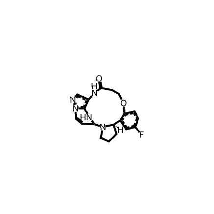 O=C1CCOc2ccc(F)cc2[C@H]2CCCN2C2C=Cn3ncc(c3N2)N1